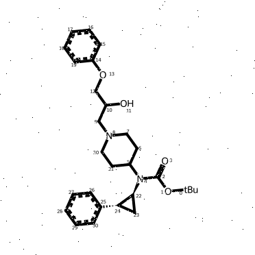 CC(C)(C)OC(=O)N(C1CCN(CC(O)COc2ccccc2)CC1)[C@H]1C[C@@H]1c1ccccc1